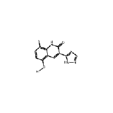 CCOc1ccc(C)c2[nH]c(=O)c(-c3nnn[nH]3)cc12